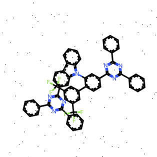 FC(F)(F)c1cc(-c2ccc(-c3nc(-c4ccccc4)nc(-c4ccccc4)n3)cc2-n2c3ccccc3c3ccc(-c4nc(-c5ccccc5)nc(-c5ccccc5)n4)cc32)cc(C(F)(F)F)c1